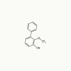 N#Cc1cccc(-c2ccccc2)c1OC(F)(F)F